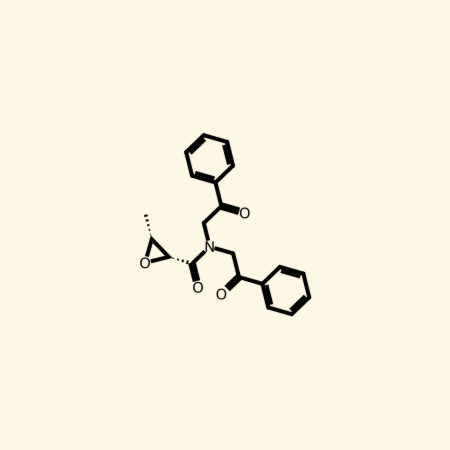 C[C@H]1O[C@H]1C(=O)N(CC(=O)c1ccccc1)CC(=O)c1ccccc1